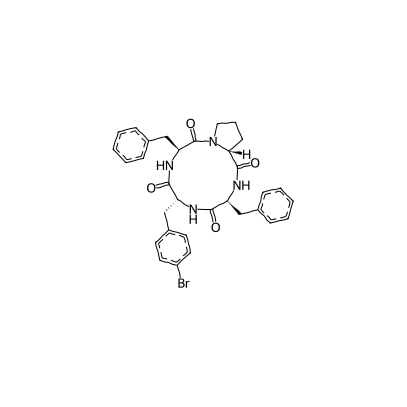 O=C1N[C@H](Cc2ccc(Br)cc2)C(=O)N[C@@H](Cc2ccccc2)C(=O)N2CCC[C@@H]2C(=O)N[C@H]1Cc1ccccc1